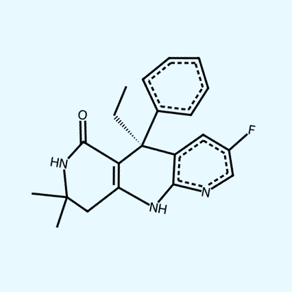 CC[C@@]1(c2ccccc2)C2=C(CC(C)(C)NC2=O)Nc2ncc(F)cc21